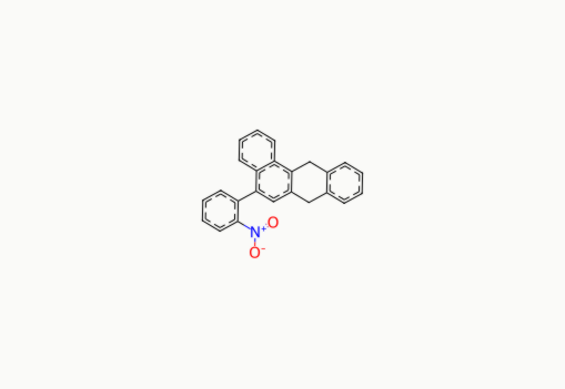 O=[N+]([O-])c1ccccc1-c1cc2c(c3ccccc13)Cc1ccccc1C2